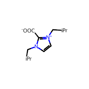 CC(C)Cn1cc[n+](CC(C)C)c1C(=O)[O-]